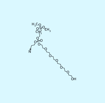 CO[Si](CCCOP(=O)(OCCC#N)OCCOCCOCCOCCOCCOCCO)(OC)OC